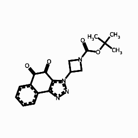 CC(C)(C)OC(=O)N1CC(n2nnc3c2C(=O)C(=O)c2ccccc2-3)C1